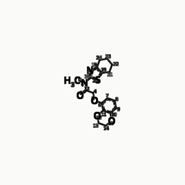 CN(C(=O)COc1cccc2c1OCCO2)c1nc2c(s1)CCCC2